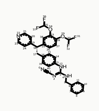 N#CN=C(NCc1ccccc1)Nc1ccc(C[C@H](c2ccncc2)c2ccc(OC(F)F)c(OC(F)F)c2)cc1